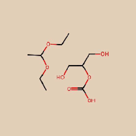 CCOC(C)OCC.O=C(O)OC(CO)CO